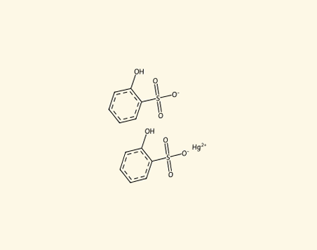 O=S(=O)([O-])c1ccccc1O.O=S(=O)([O-])c1ccccc1O.[Hg+2]